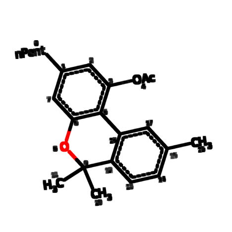 CCCCCc1cc(OC(C)=O)c2c(c1)OC(C)(C)c1ccc(C)cc1-2